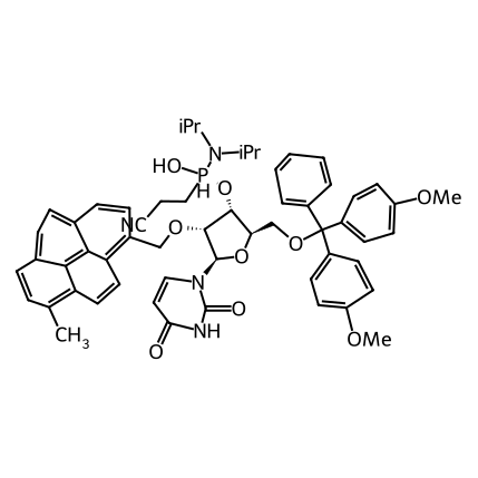 COc1ccc(C(OC[C@H]2O[C@@H](n3ccc(=O)[nH]c3=O)[C@H](OCc3ccc4ccc5ccc(C)c6ccc3c4c56)[C@@H]2O[PH](O)(CCC#N)N(C(C)C)C(C)C)(c2ccccc2)c2ccc(OC)cc2)cc1